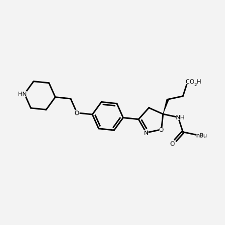 CCCCC(=O)N[C@@]1(CCC(=O)O)CC(c2ccc(OCC3CCNCC3)cc2)=NO1